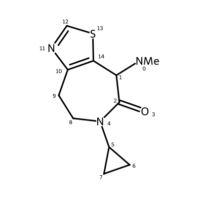 CNC1C(=O)N(C2CC2)CCc2ncsc21